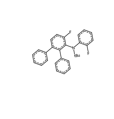 CC(C)(C)N(c1ccccc1F)c1c(F)ccc(-c2ccccc2)c1-c1ccccc1